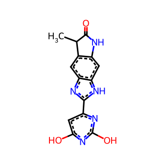 CC1C(=O)Nc2cc3[nH]c(-c4cc(O)nc(O)n4)nc3cc21